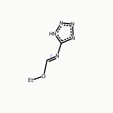 CCO/C=N/c1nnn[nH]1